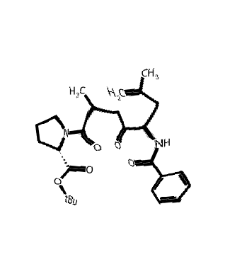 C=C(C)CC(NC(=O)c1ccccc1)C(=O)CC(C)C(=O)N1CCC[C@H]1C(=O)OC(C)(C)C